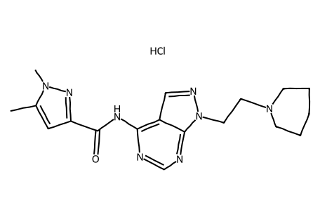 Cc1cc(C(=O)Nc2ncnc3c2cnn3CCN2CCCCC2)nn1C.Cl